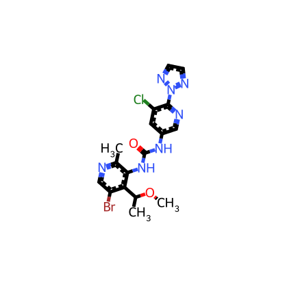 COC(C)c1c(Br)cnc(C)c1NC(=O)Nc1cnc(-n2nccn2)c(Cl)c1